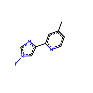 Cc1ccnc(-c2cn(I)cn2)c1